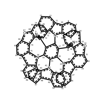 N#Cc1c(-n2c3ccccc3c3ccccc32)c(C#N)c(-n2c3ccccc3c3ccc4oc5ccccc5c4c32)c(-n2c3ccccc3c3ccccc32)c1-n1c2ccccc2c2ccc3oc4ccccc4c3c21